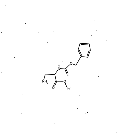 CC(C)OC(=O)C(CN)NC(=O)OCc1ccccc1